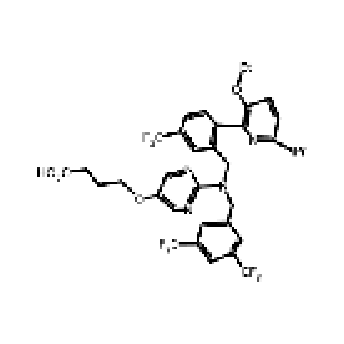 CCOc1ccc(C(C)C)nc1-c1ccc(C(F)(F)F)cc1CN(Cc1cc(C(F)(F)F)cc(C(F)(F)F)c1)c1ncc(OCCCC(=O)O)cn1